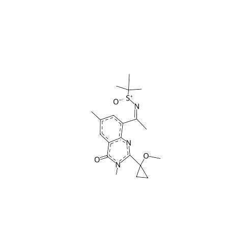 COC1(c2nc3c(/C(C)=N\[S@+]([O-])C(C)(C)C)cc(C)cc3c(=O)n2C)CC1